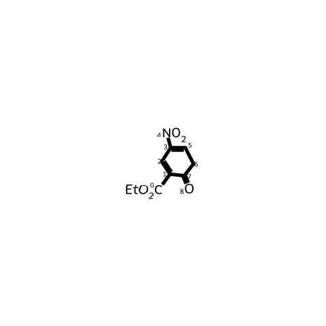 CCOC(=O)C1=CC([N+](=O)[O-])=CCC1=O